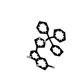 Brc1cnc2[nH]cc(-c3cnn(C(c4ccccc4)(c4ccccc4)c4ccccc4)c3)c2c1